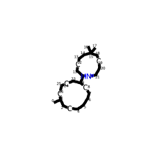 CC1CCCCCCCC(C2CCCCC(C)(C)CCCCN2)CCCC1